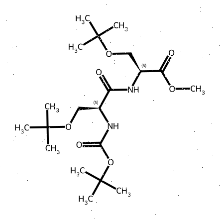 COC(=O)[C@H](COC(C)(C)C)NC(=O)[C@H](COC(C)(C)C)NC(=O)OC(C)(C)C